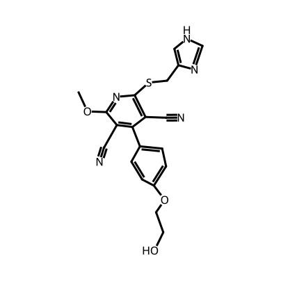 COc1nc(SCc2c[nH]cn2)c(C#N)c(-c2ccc(OCCO)cc2)c1C#N